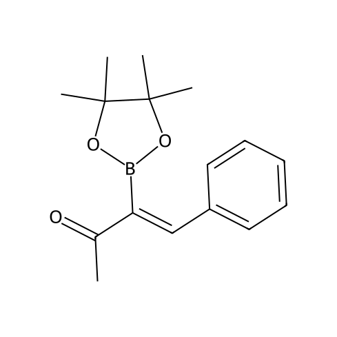 CC(=O)/C(=C/c1ccccc1)B1OC(C)(C)C(C)(C)O1